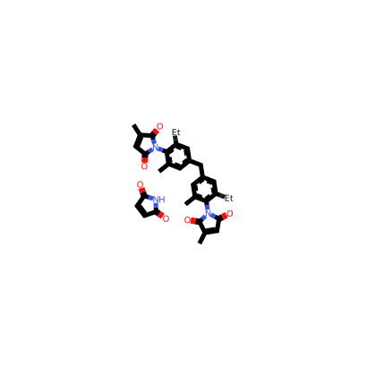 CCc1cc(Cc2cc(C)c(N3C(=O)C=C(C)C3=O)c(CC)c2)cc(C)c1N1C(=O)C=C(C)C1=O.O=C1C=CC(=O)N1